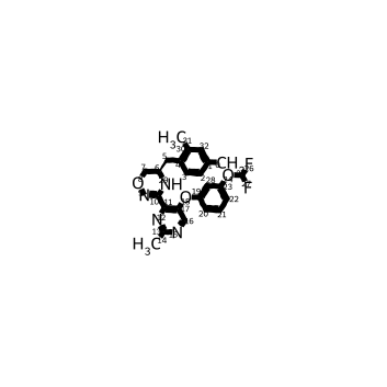 Cc1ccc(C[C@@H]2CON=C(c3nc(C)ncc3Oc3cccc(OC(F)F)c3)N2)c(C)c1